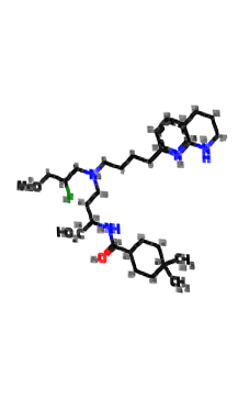 COCC(F)CN(CCCCc1ccc2c(n1)NCCC2)CCC(NC(=O)C1CCC(C)(C)CC1)C(=O)O